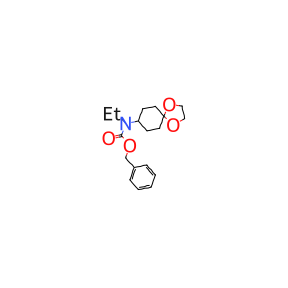 CCN(C(=O)OCc1ccccc1)C1CCC2(CC1)OCCO2